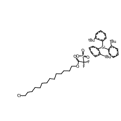 CC(C)(C)c1ccccc1[S+](c1ccccc1C(C)(C)C)c1ccccc1C(C)(C)C.O=C(OCCCCCCCCCCCCCCCl)C(F)(F)S(=O)(=O)[O-]